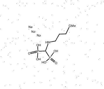 COCCCNC(P(=O)(O)O)P(=O)(O)O.[Na].[Na].[Na]